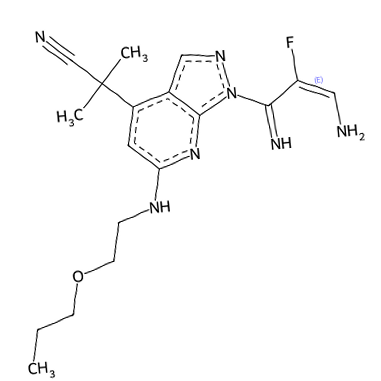 CCCOCCNc1cc(C(C)(C)C#N)c2cnn(C(=N)/C(F)=C\N)c2n1